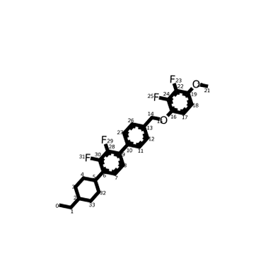 CCC1CCC(c2ccc(-c3ccc(COc4ccc(OC)c(F)c4F)cc3)c(F)c2F)CC1